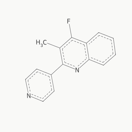 Cc1c(-c2ccncc2)nc2ccccc2c1F